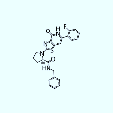 O=C(NCc1ccccc1)[C@H]1CCCN1c1nc2c(=O)[nH]c(-c3ccccc3F)cc2s1